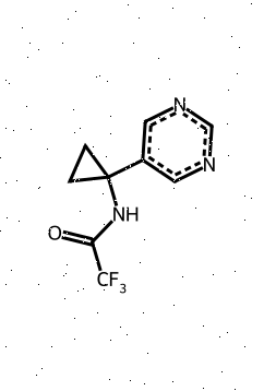 O=C(NC1(c2cncnc2)CC1)C(F)(F)F